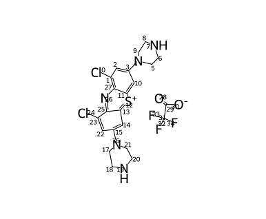 Clc1cc(N2CCNCC2)cc2[s+]c3cc(N4CCNCC4)cc(Cl)c3nc12.O=C([O-])C(F)(F)F